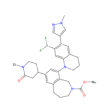 CCN1CCC(c2cc3c(c(N4CCCc5cc(-c6cnn(C)c6)c(C(F)F)cc54)c2)CN(C(=O)OC(C)(C)C)CCC3)CC1=O